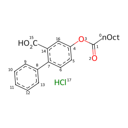 CCCCCCCCC(=O)Oc1ccc(-c2ccccc2)c(C(=O)O)c1.Cl